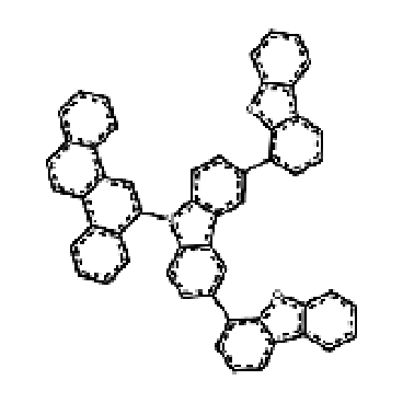 c1ccc2c(c1)ccc1c3ccccc3c(-n3c4ccc(-c5cccc6c5oc5ccccc56)cc4c4cc(-c5cccc6c5oc5ccccc56)ccc43)cc21